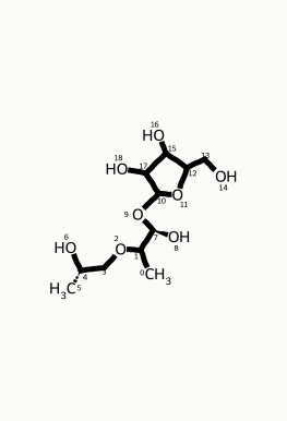 CC(OC[C@H](C)O)[C@H](O)OC1OC(CO)C(O)C1O